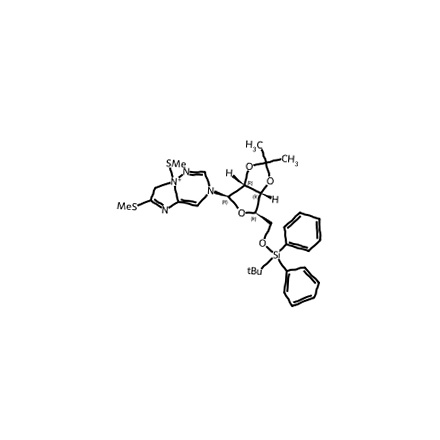 CSC1=NC2=CN([C@@H]3O[C@H](CO[Si](c4ccccc4)(c4ccccc4)C(C)(C)C)[C@H]4OC(C)(C)O[C@H]43)C=N[N+]2(SC)C1